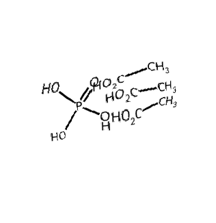 CC(=O)O.CC(=O)O.CC(=O)O.O=P(O)(O)O